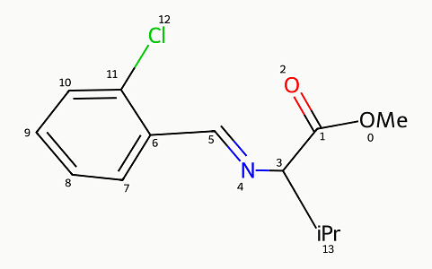 COC(=O)C(N=Cc1ccccc1Cl)C(C)C